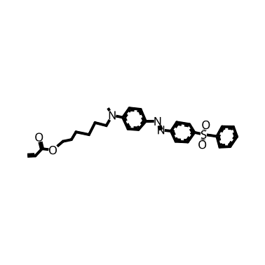 C=CC(=O)OCCCCCCN(C)c1ccc(N=Nc2ccc(S(=O)(=O)c3ccccc3)cc2)cc1